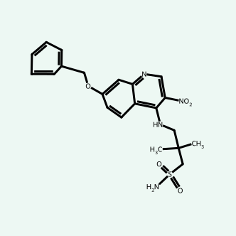 CC(C)(CNc1c([N+](=O)[O-])cnc2cc(OCc3ccccc3)ccc12)CS(N)(=O)=O